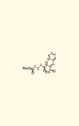 CCC(=O)c1cc2ccccc2cc1C(=O)CCCC(=O)OC